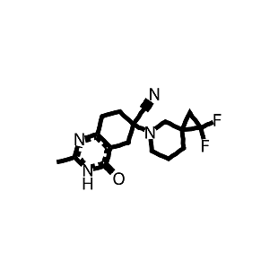 Cc1nc2c(c(=O)[nH]1)CC(C#N)(N1CCCC3(C1)CC3(F)F)CC2